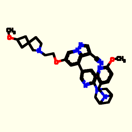 COc1ccc(CN2C3CC2CN(c2ccc(-c4cc(OCCN5CCC6(CC(OC)C6)C5)cn5ncc(C#N)c45)cn2)C3)cn1